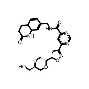 O=C1CCC2C=CC(CNC(=O)c3cc(C4=NO[C@H]([C@H]5CO[C@H](CO)CO5)C4)ncn3)=CC2N1